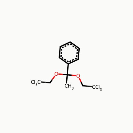 CC(OCC(Cl)(Cl)Cl)(OCC(Cl)(Cl)Cl)c1ccccc1